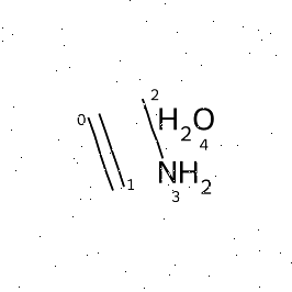 C=C.CN.O